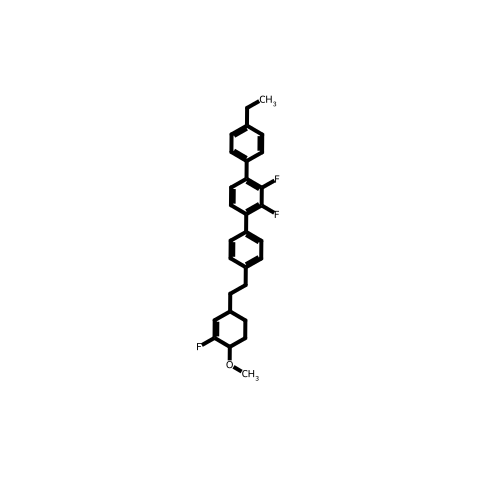 CCc1ccc(-c2ccc(-c3ccc(CCC4C=C(F)C(OC)CC4)cc3)c(F)c2F)cc1